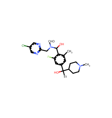 CCC(O)(c1cc(C)c(C(O)N(C=O)Cc2ncc(Cl)cn2)c(F)c1)C1CCN(C)CC1